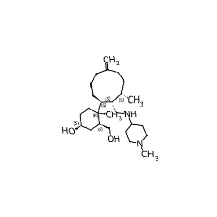 C=C1CCC[C@H]([C@@]2(C)CC[C@H](O)C[C@@H]2CO)[C@@H](CNC2CCN(C)CC2)[C@@H](C)CC1